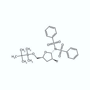 CC(C)(C)[Si](C)(C)OC[C@@H]1C[C@H](F)[C@@H](N(S(=O)(=O)c2ccccc2)S(=O)(=O)c2ccccc2)O1